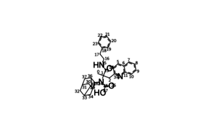 CC(Cc1ccc2ccccc2n1)(C(=O)NCCc1ccccc1)N(C(=O)O)C1C2CC3CC(C2)CC1C3